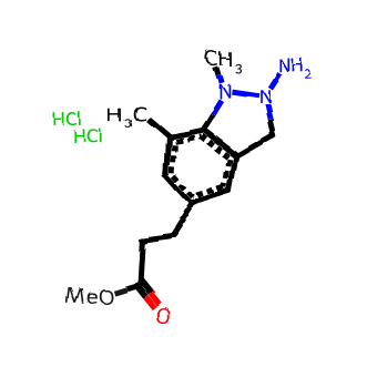 COC(=O)CCc1cc(C)c2c(c1)CN(N)N2C.Cl.Cl